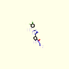 CN(C)CCNC(=O)c1cccc(-c2cncc(Nc3ccc(F)c(Cl)c3)n2)c1